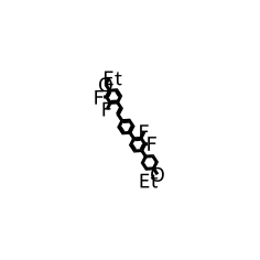 CCOc1ccc(/C=C/c2ccc(-c3ccc(C4CCC(OCC)CC4)c(F)c3F)cc2)c(F)c1F